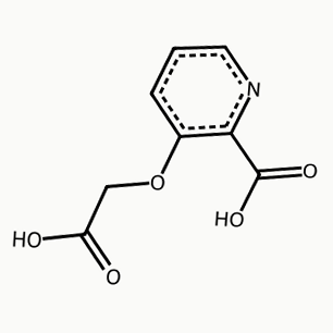 O=C(O)COc1cccnc1C(=O)O